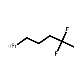 CCCCCCC(C)(F)F